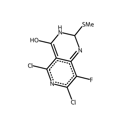 CSC1N=c2c(F)c(Cl)nc(Cl)c2=C(O)N1